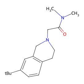 CN(C)C(=O)CN1CCc2ccc(C(C)(C)C)cc2C1